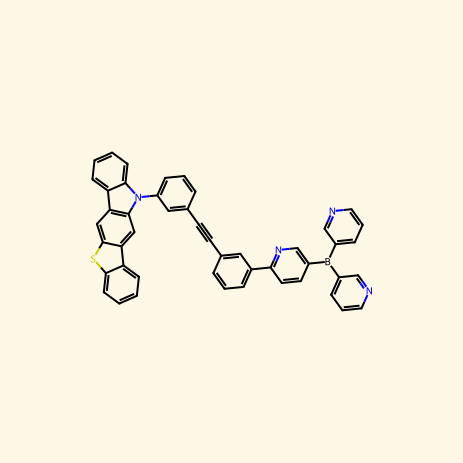 C(#Cc1cccc(-n2c3ccccc3c3cc4sc5ccccc5c4cc32)c1)c1cccc(-c2ccc(B(c3cccnc3)c3cccnc3)cn2)c1